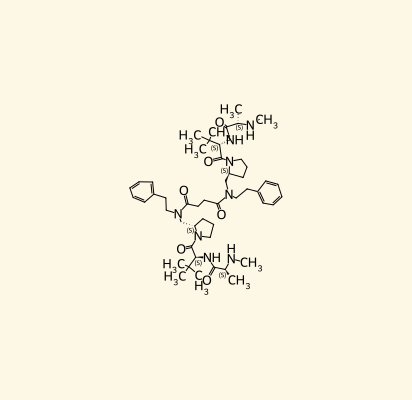 CN[C@@H](C)C(=O)N[C@H](C(=O)N1CCC[C@H]1CN(CCc1ccccc1)C(=O)CCC(=O)N(CCc1ccccc1)C[C@@H]1CCCN1C(=O)[C@@H](NC(=O)[C@H](C)NC)C(C)(C)C)C(C)(C)C